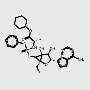 C[C@H](N[P@@](=O)(Oc1ccccc1)OC1[C@@]2(CF)O[C@@H](c3ccc4c(N)ncnn34)[C@H](O)[C@@]12O)C(=O)OC1CCCCC1